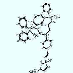 [2H]C1(C=Cc2ccc(N(CCO[Si](c3ccccc3)(c3ccccc3)C(C)(C)C)CCO[Si](c3ccccc3)(c3ccccc3)C(C)(C)C)cc2)C=CC(C=O)S1